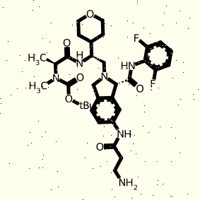 C[C@@H](C(=O)N[C@H](CN1Cc2ccc(NC(=O)CCN)cc2[C@H]1C(=O)Nc1c(F)cccc1F)C1CCOCC1)N(C)C(=O)OC(C)(C)C